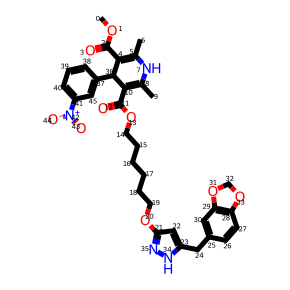 COC(=O)C1=C(C)NC(C)=C(C(=O)OCCCCCCOc2cc(Cc3ccc4c(c3)OCO4)[nH]n2)C1c1cccc([N+](=O)[O-])c1